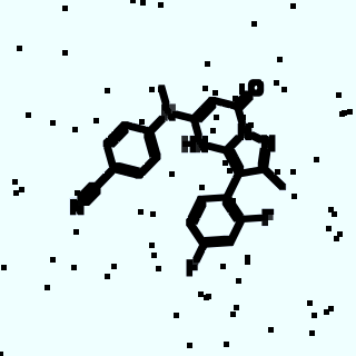 Cc1nn2c(=O)cc(N(C)c3ccc(C#N)cc3)[nH]c2c1-c1ccc(F)cc1F